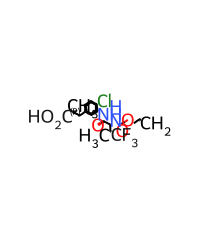 C=CCOC(=O)NC(C(=O)Nc1cc(C[C@@H](C)C(=O)O)ccc1Cl)C(C)C(F)(F)F